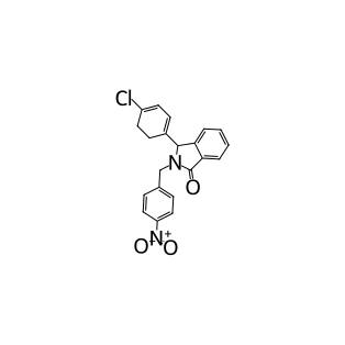 O=C1c2ccccc2C(C2=CC=C(Cl)CC2)N1Cc1ccc([N+](=O)[O-])cc1